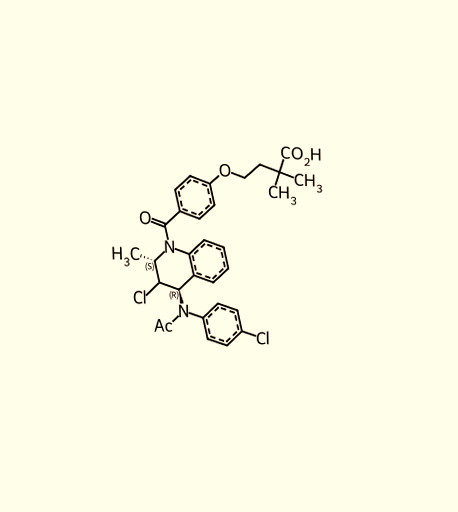 CC(=O)N(c1ccc(Cl)cc1)[C@@H]1c2ccccc2N(C(=O)c2ccc(OCCC(C)(C)C(=O)O)cc2)[C@@H](C)C1Cl